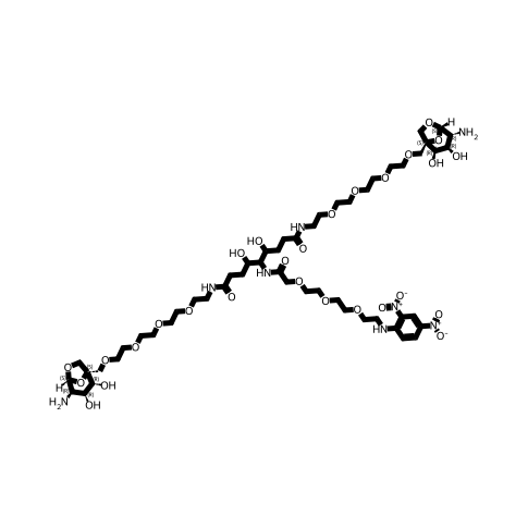 N[C@H]1[C@H]2OC[C@](COCCOCCOCCOCCNC(=O)CCC(O)C(NC(=O)COCCOCCOCCNc3ccc([N+](=O)[O-])cc3[N+](=O)[O-])C(O)CCC(=O)NCCOCCOCCOCCOC[C@@]34CO[C@@H](O3)[C@H](N)[C@@H](O)[C@H]4O)(O2)[C@H](O)[C@@H]1O